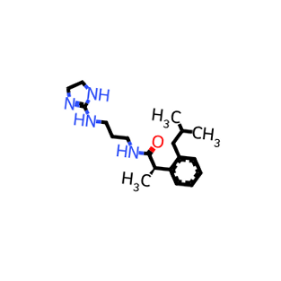 CC(C)Cc1ccccc1[C@@H](C)C(=O)NCCCNC1=NCCN1